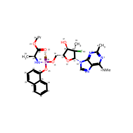 CNc1nc(C)nc2c1ncn2[C@@H]1O[C@H](CO[P@@](=S)(N[C@@H](C)C(=O)OC(C)C)Oc2cccc3ccccc23)[C@@H](O)[C@@]1(C)F